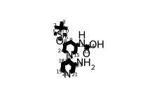 CC(C)(C)[Si](C)(C)OC1CC(NC(=O)O)CN(c2ccncc2N)C1